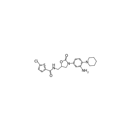 Nc1cc(N2CC(CNC(=O)c3ccc(Cl)s3)OC2=O)ccc1N1CCCCC1